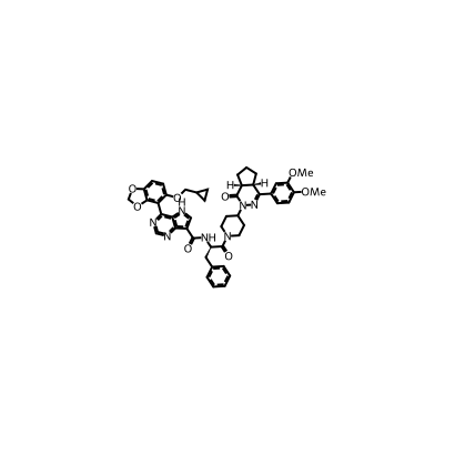 COc1ccc(C2=NN(C3CCN(C(=O)[C@@H](Cc4ccccc4)NC(=O)c4c[nH]c5c(-c6c(OCC7CC7)ccc7c6OCO7)ncnc45)CC3)C(=O)[C@@H]3CCC[C@H]23)cc1OC